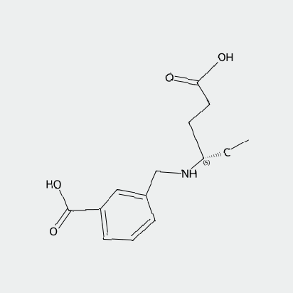 CC[C@@H](CCC(=O)O)NCc1cccc(C(=O)O)c1